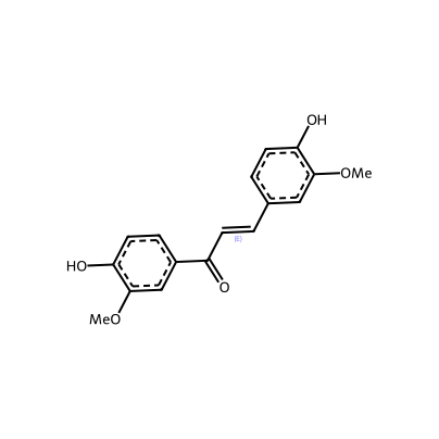 COc1cc(/C=C/C(=O)c2ccc(O)c(OC)c2)ccc1O